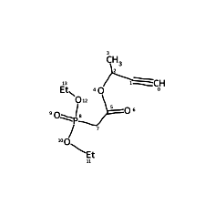 C#CC(C)OC(=O)CP(=O)(OCC)OCC